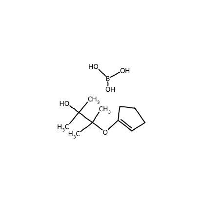 CC(C)(O)C(C)(C)OC1=CCCC1.OB(O)O